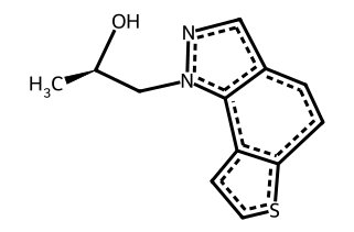 C[C@@H](O)Cn1ncc2ccc3sccc3c21